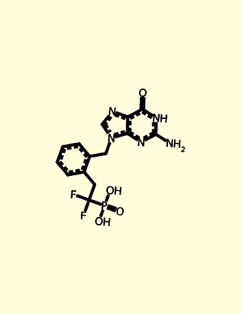 Nc1nc2c(ncn2Cc2ccccc2CC(F)(F)P(=O)(O)O)c(=O)[nH]1